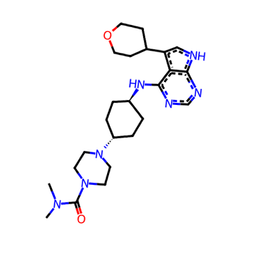 CN(C)C(=O)N1CCN([C@H]2CC[C@H](Nc3ncnc4[nH]cc(C5CCOCC5)c34)CC2)CC1